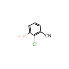 Bc1cccc(C#N)c1Cl